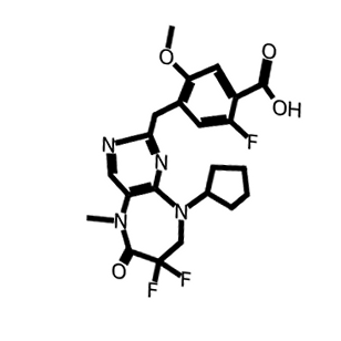 COc1cc(C(=O)O)c(F)cc1Cc1ncc2c(n1)N(C1CCCC1)CC(F)(F)C(=O)N2C